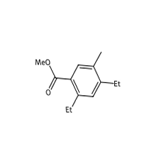 CCc1cc(CC)c(C(=O)OC)cc1C